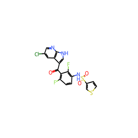 O=C(c1c(F)ccc(NS(=O)(=O)c2ccsc2)c1F)c1c[nH]c2ncc(Cl)cc12